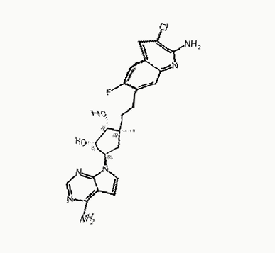 C[C@]1(CCc2cc3nc(N)c(Cl)cc3cc2F)C[C@@H](n2ccc3c(N)ncnc32)[C@H](O)[C@@H]1O